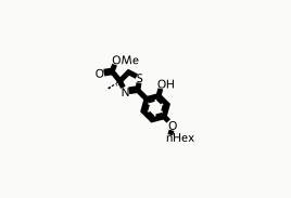 CCCCCCOc1ccc(C2=N[C@@](C)(C(=O)OC)CS2)c(O)c1